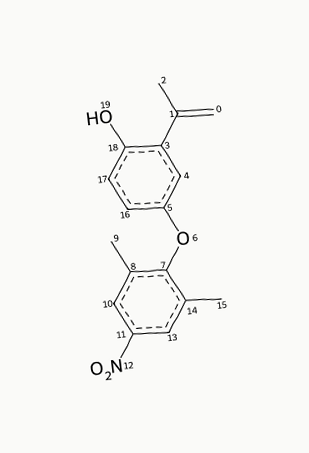 C=C(C)c1cc(Oc2c(C)cc([N+](=O)[O-])cc2C)ccc1O